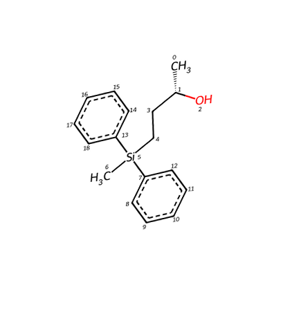 C[C@H](O)CC[Si](C)(c1ccccc1)c1ccccc1